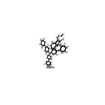 C=C/C=C\c1c(C)n(-c2ccccc2-c2ccc(N(c3ccc(-c4ccccc4)cc3)c3ccc(-c4ccc(CCCC)cc4)cc3)cc2)c2ccccc12